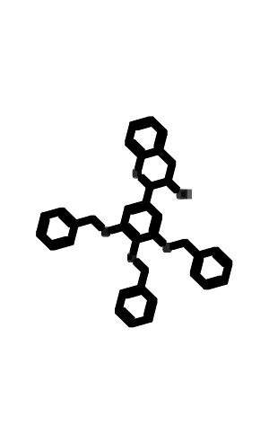 OC1Cc2ccccc2OC1c1cc(OCc2ccccc2)c(OCc2ccccc2)c(OCc2ccccc2)c1